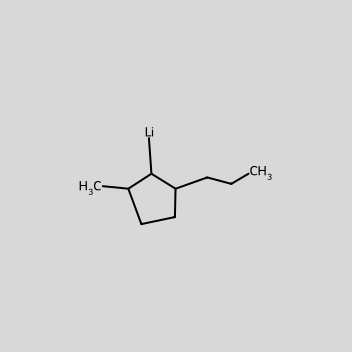 [Li][CH]1C(C)CCC1CCC